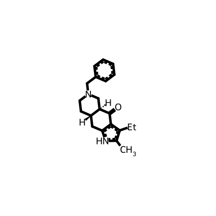 CCc1c(C)[nH]c2c1C(=O)[C@@H]1CN(Cc3ccccc3)CC[C@H]1C2